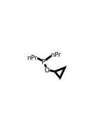 CCCP(CCC)OC1CC1